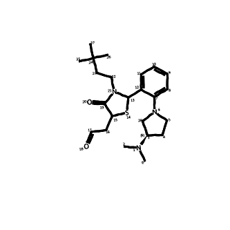 CN(C)[C@@H]1CCN(c2ccccc2C2SC(CC=O)C(=O)N2CCC(C)(C)C)C1